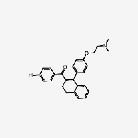 CN(C)CCOc1ccc(C2=C(C(=O)c3ccc(Cl)cc3)CCc3ccccc32)cc1